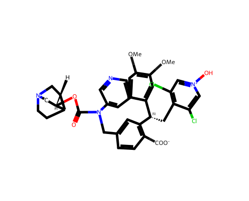 COc1ccc([C@H](Cc2c(Cl)c[n+](O)cc2Cl)c2cc(CN(C(=O)O[C@H]3CN4CCC3CC4)c3cccnc3)ccc2C(=O)[O-])cc1OC